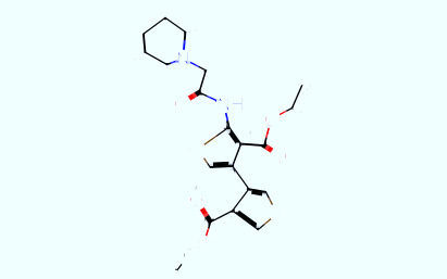 CCOC(=O)c1cscc1-c1csc(NC(=O)CN2CCCCC2)c1C(=O)OCC